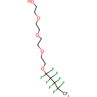 OCCOCCOCCOCCOC(F)(F)C(F)(F)C(F)(F)C(F)(F)C(F)(F)F